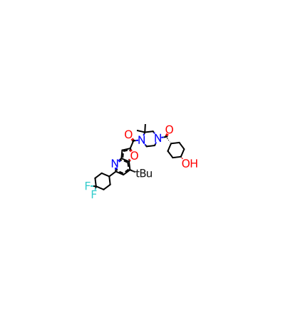 CC(C)(C)c1cc(C2CCC(F)(F)CC2)nc2cc(C(=O)N3CCN(C(=O)[C@H]4CC[C@@H](O)CC4)CC3(C)C)oc12